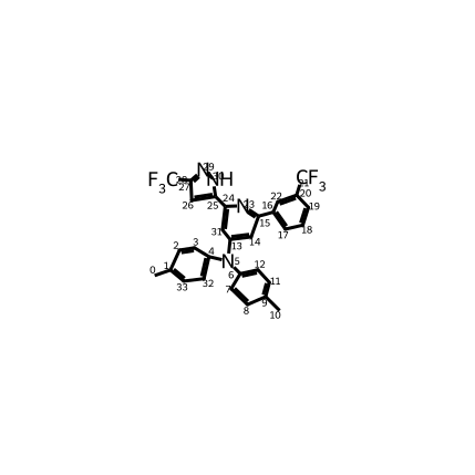 Cc1ccc(N(c2ccc(C)cc2)c2cc(-c3cccc(C(F)(F)F)c3)nc(-c3cc(C(F)(F)F)n[nH]3)c2)cc1